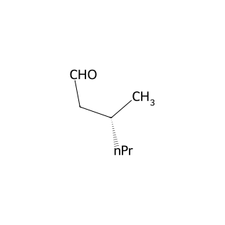 CCC[C@@H](C)CC=O